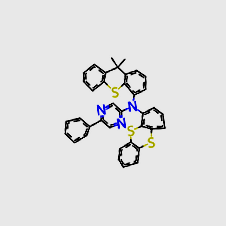 CC1(C)c2ccccc2Sc2c(N(c3cnc(-c4ccccc4)cn3)c3cccc4c3Sc3ccccc3S4)cccc21